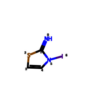 N=c1sccn1I